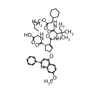 CCC[C@H](NC(=O)[C@@H]1C[C@@H](Oc2cc(-c3ccccc3)nc3cc(OC)ccc23)C=C1C(=O)N[C@@H](C(=O)N[C@H](C(=O)OC)C1CCCCC1)C(C)(C)C)C(=O)O